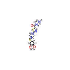 CN1CCN(C(=O)c2cnc(N3CCN(Sc4ccc5c(c4)OCCO5)CC3)s2)CC1